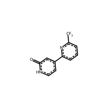 O=c1cc(-c2cccc(C(F)(F)F)n2)cc[nH]1